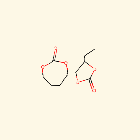 CCC1COC(=O)O1.O=C1OCCCCO1